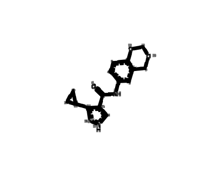 O=C(Nc1ccc2c(c1)COCO2)c1c[nH]nc1C1CC1